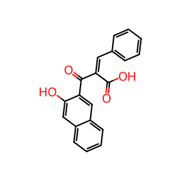 O=C(O)C(=Cc1ccccc1)C(=O)c1cc2ccccc2cc1O